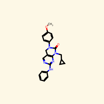 COc1ccc(N2Cc3cnc(Nc4ccccc4)nc3N(CC3CC3)C2=O)cc1